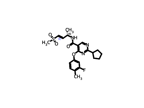 Cc1ccc(Oc2nc(C3CCCC3)ncc2C(=O)N[C@@H](C)/C=C/S(C)(=O)=O)cc1F